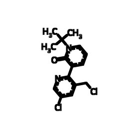 CC(C)(C)n1cccc(-c2ncc(Cl)cc2CCl)c1=O